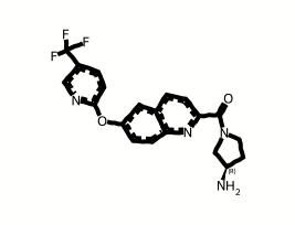 N[C@@H]1CCN(C(=O)c2ccc3cc(Oc4ccc(C(F)(F)F)cn4)ccc3n2)C1